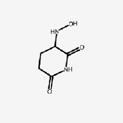 O=C1CCC(NO)C(=O)N1